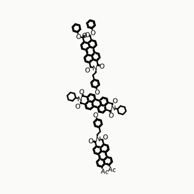 CC(=O)c1ccc2c3ccc4c5c(ccc(c6ccc(C(C)=O)c1c26)c53)C(=O)N(CCc1ccc(Oc2cc3c5c(ccc6c7c(Oc8ccc(CCN9C(=O)c%10ccc%11c%12ccc(C(=O)Oc%13ccccc%13)c%13c(C(=O)Oc%14ccccc%14)ccc(c%14ccc(c%10c%11%14)C9=O)c%13%12)cc8)cc8c9c(ccc(c2c56)c97)C(=O)N(C2CCCCC2)C8=O)C(=O)N(C2CCCCC2)C3=O)cc1)C4=O